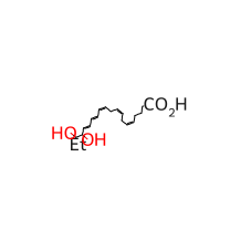 CC[C@@H](O)C(O)/C=C/C=C/C=C\C/C=C\C/C=C\CCCC(=O)O